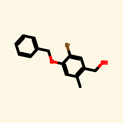 Cc1cc(OCc2ccccc2)c(Br)cc1CO